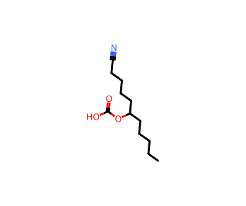 CCCCCC(CCCCC#N)OC(=O)O